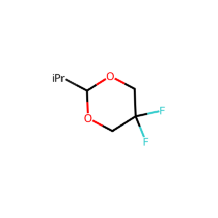 CC(C)C1OCC(F)(F)CO1